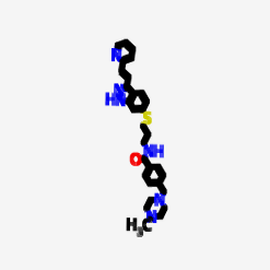 CN1CCN(Cc2ccc(C(=O)NCCCSc3ccc4c(C=Cc5ccccn5)n[nH]c4c3)cc2)CC1